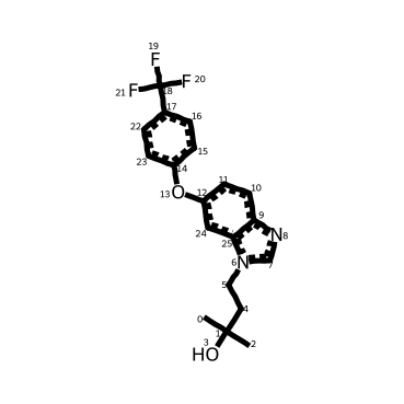 CC(C)(O)CCn1cnc2ccc(Oc3ccc(C(F)(F)F)cc3)cc21